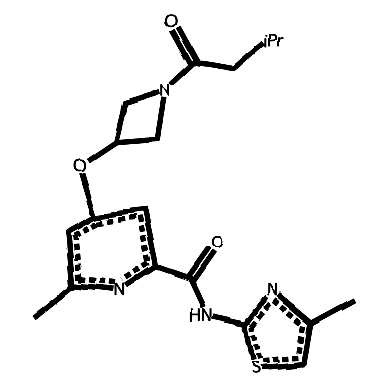 Cc1cc(OC2CN(C(=O)CC(C)C)C2)cc(C(=O)Nc2nc(C)cs2)n1